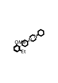 CCc1cccc(OC)c1[C@H]1CC[C@H](N2CCN(C3CCCCC3)CC2)CC1